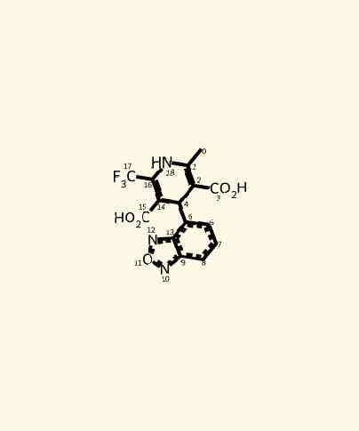 CC1=C(C(=O)O)C(c2cccc3nonc23)C(C(=O)O)=C(C(F)(F)F)N1